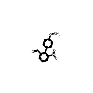 COc1ccc(-c2c(C=O)cccc2[N+](=O)[O-])cc1